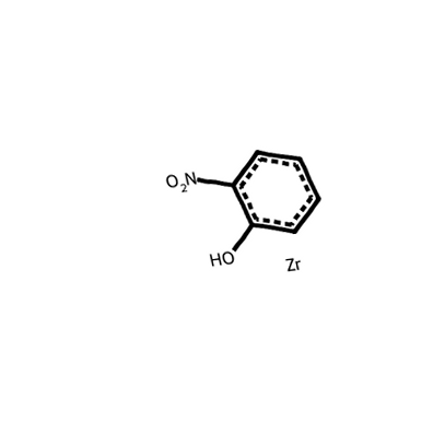 O=[N+]([O-])c1ccccc1O.[Zr]